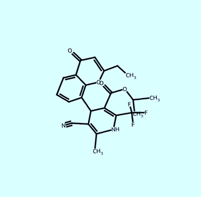 CCc1cc(=O)c2cccc(C3C(C#N)=C(C)NC(C(F)(F)F)=C3C(=O)OC(C)C)c2o1